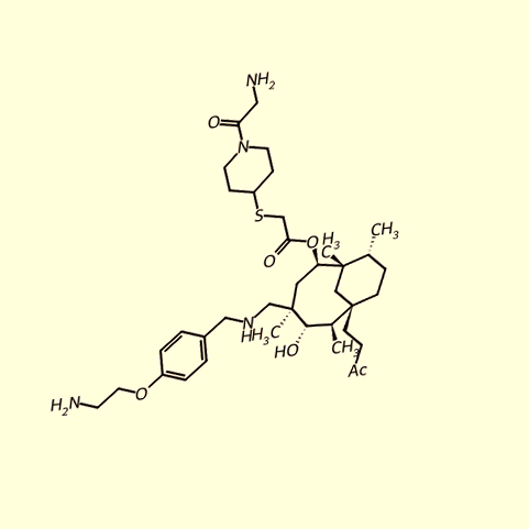 CC(=O)CC[C@]12CC[C@@H](C)[C@](C)(C1)[C@H](OC(=O)CSC1CCN(C(=O)CN)CC1)C[C@](C)(CNCc1ccc(OCCN)cc1)[C@@H](O)[C@@H]2C